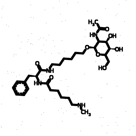 CNCCCCCC(=O)N[C@@H](Cc1ccccc1)C(=O)NCCCCCCO[C@@H]1OC(CO)[C@@H](O)[C@H](O)C1NC(C)=O